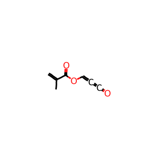 C=C(C)C(=O)OC=C=C=O